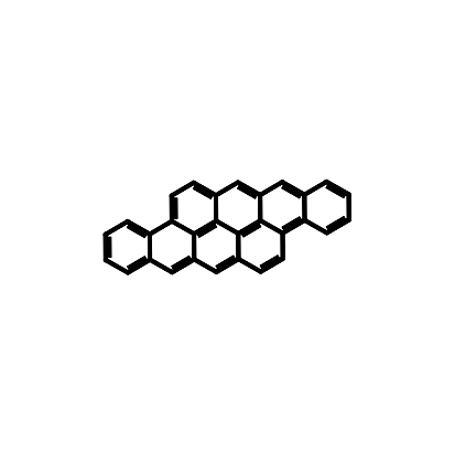 c1ccc2c(c1)cc1cc3ccc4c5ccccc5cc5cc6ccc2c1c6c3c54